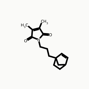 CC1=C(C)C(=O)N(CCCC23C=CC(CC2)C3)C1=O